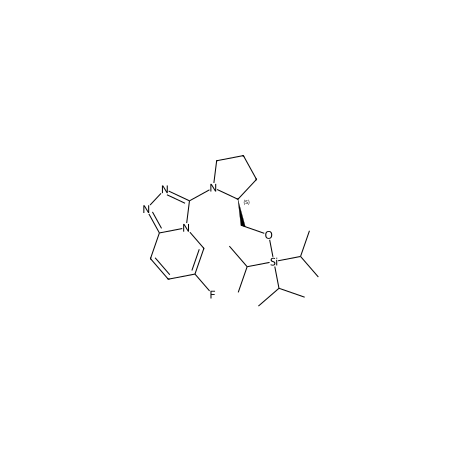 CC(C)[Si](OC[C@@H]1CCCN1c1nnc2ccc(F)cn12)(C(C)C)C(C)C